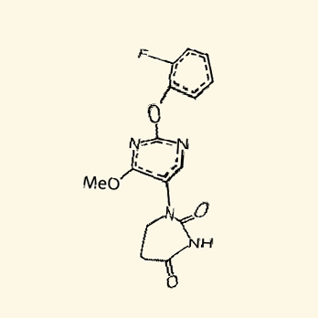 COc1nc(Oc2ccccc2F)ncc1N1CCC(=O)NC1=O